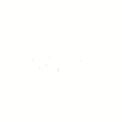 CCCCCCc1ccsc1C1=CC(C)N(C)C(C)=C1